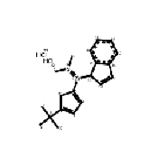 C[Si](C)=[Zr]([C]1=CC=C(C(C)(C)C)C1)[CH]1C=Cc2ccccc21.Cl.Cl